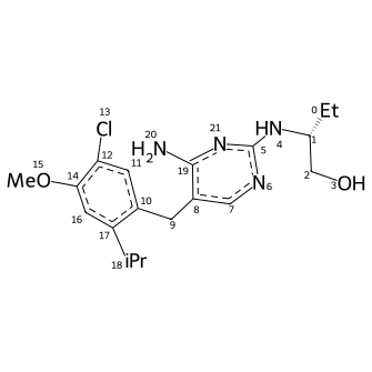 CC[C@H](CO)Nc1ncc(Cc2cc(Cl)c(OC)cc2C(C)C)c(N)n1